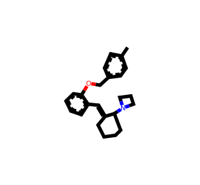 Cc1ccc(COc2ccccc2C=C2CCCCC2N2CCC2)cc1